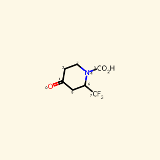 O=C1CCN(C(=O)O)C(C(F)(F)F)C1